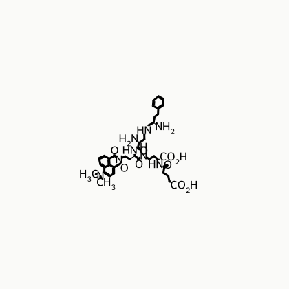 CN(C)c1ccc2c3c(cccc13)C(=O)N(CC[C@@H](NC(=O)[C@@H](N)CCNC[C@@H](N)CCc1ccccc1)C(=O)NCC[C@@H](NC(=O)CCCC(=O)O)C(=O)O)C2=O